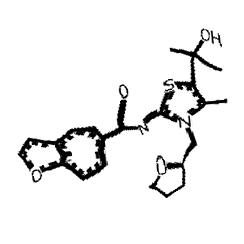 Cc1c(C(C)(C)O)sc(=NC(=O)c2ccc3occc3c2)n1C[C@H]1CCCO1